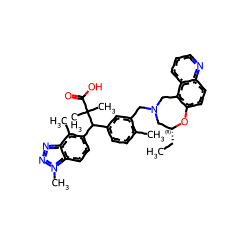 CC[C@@H]1CN(Cc2cc(C(c3ccc4c(nnn4C)c3C)C(C)(C)C(=O)O)ccc2C)Cc2c(ccc3ncccc23)O1